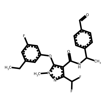 CCc1cc(F)cc(Oc2c(C(=O)NC(C)c3ccc(C=O)cc3)c(C(F)F)nn2C)c1